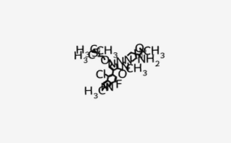 C[C@@H]1OCC2(CCN(c3nc4c(c(-c5cc(F)c6nn(C)cc6c5Cl)cn4COCC[Si](C)(C)C)c(=O)n3C)CC2)[C@@H]1N